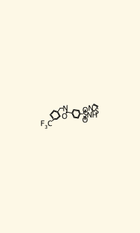 CN(Cc1ccc(C(F)(F)F)cc1)C(=O)c1ccc(S(=O)(=O)Nc2nccs2)cc1